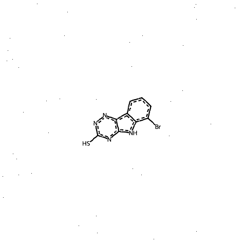 Sc1nnc2c(n1)[nH]c1c(Br)cccc12